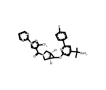 CC(C)([AsH2])c1cc(OC2[C@H]3CN(C(=O)c4cn(-c5ncccn5)nc4C(F)(F)F)C[C@@H]23)nc(-c2ccc(F)cc2)c1